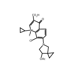 CC(=O)OC1CN(c2ccc3c(c2Cl)[N+](F)(C2CC2)C=C(C(=O)O)C3=O)CC12CC2